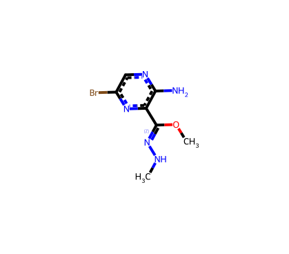 CN/N=C(\OC)c1nc(Br)cnc1N